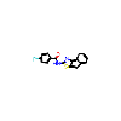 O=C(Nc1nc2c(s1)=CC1=CC=CCC=21)c1ccc(F)cc1